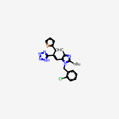 CCCCc1nc(C=O)c(C=C(Cc2cccs2)c2nnn[nH]2)n1Cc1ccccc1Cl